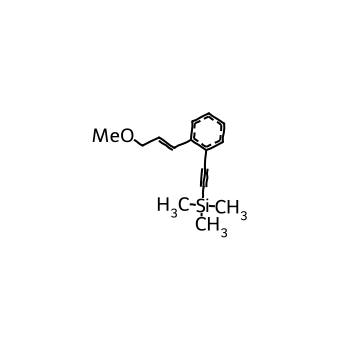 COCC=Cc1ccccc1C#C[Si](C)(C)C